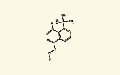 CC(C)(C)c1cccc(C(=O)OOF)c1[N+](=O)[O-]